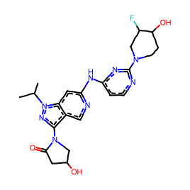 CC(C)n1nc(N2CC(O)CC2=O)c2cnc(Nc3ccnc(N4CCC(O)C(F)C4)n3)cc21